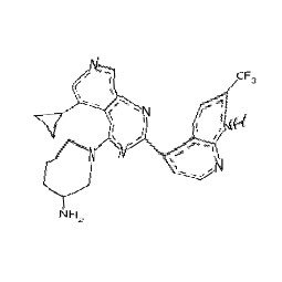 NC1CCCN(c2nc(-c3ccnc4[nH]c(C(F)(F)F)cc34)nc3cncc(C4CC4)c23)C1